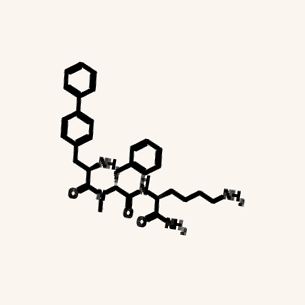 CN(C(=O)[C@H](N)Cc1ccc(-c2ccccc2)cc1)[C@H](Cc1ccccc1)C(=O)N[C@@H](CCCCN)C(N)=O